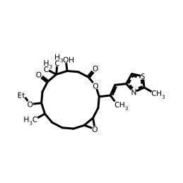 CCOC1CC(=O)C(C)(C)C(O)CC(=O)OC(C(C)=Cc2csc(C)n2)CC2OC2CCCC1C